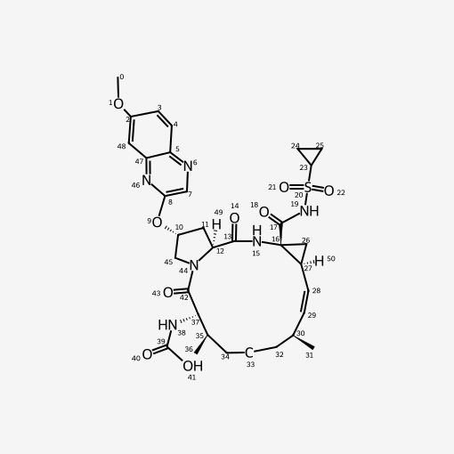 COc1ccc2ncc(O[C@@H]3C[C@H]4C(=O)N[C@]5(C(=O)NS(=O)(=O)C6CC6)C[C@H]5/C=C\[C@@H](C)CCC[C@@H](C)[C@H](NC(=O)O)C(=O)N4C3)nc2c1